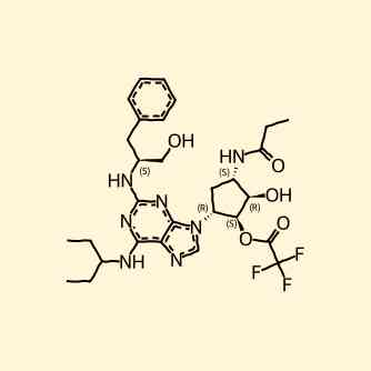 CCC(=O)N[C@H]1C[C@@H](n2cnc3c(NC(CC)CC)nc(N[C@H](CO)Cc4ccccc4)nc32)[C@H](OC(=O)C(F)(F)F)[C@@H]1O